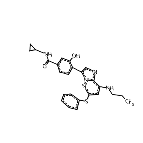 O=C(NC1CC1)c1ccc(-c2cnc3c(NCCC(F)(F)F)cc(Sc4ccccc4)nn23)c(O)c1